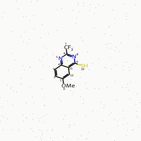 COc1ccc2nc(C(F)(F)F)nc(S)c2c1